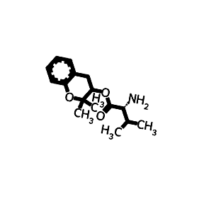 CC(C)[C@@H](N)C(=O)OC1Cc2ccccc2OC1(C)C